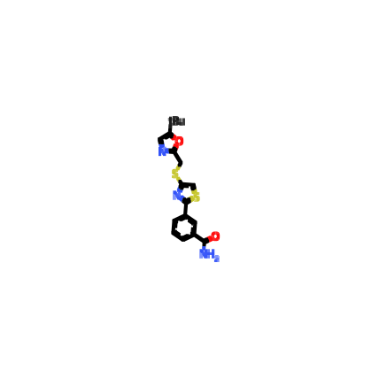 CC(C)(C)c1cnc(CSc2csc(-c3cccc(C(N)=O)c3)n2)o1